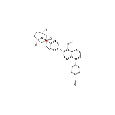 CCC(=O)N1[C@@H]2CC[C@H]1CN(c1ccc(-c3cnc4c(-c5ccc(C#N)cc5)cccc4c3OC)cn1)C2